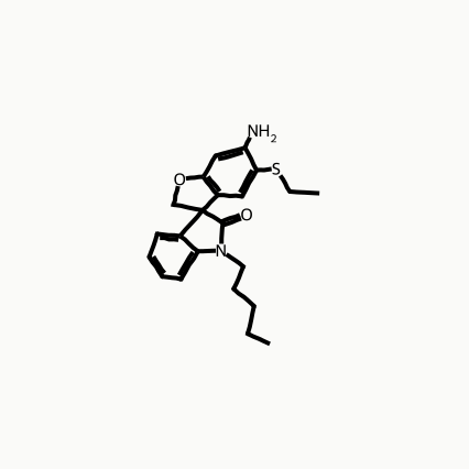 CCCCCN1C(=O)C2(COc3cc(N)c(SCC)cc32)c2ccccc21